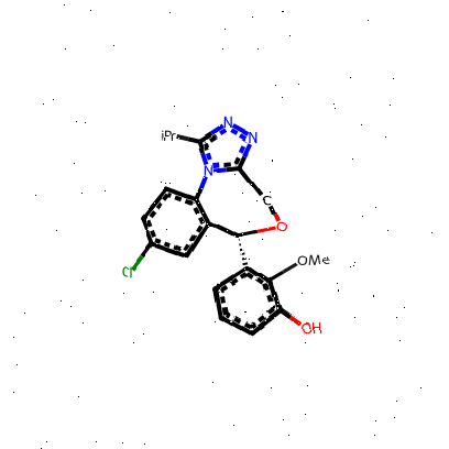 COc1c(O)cccc1[C@H]1OCc2nnc(C(C)C)n2-c2ccc(Cl)cc21